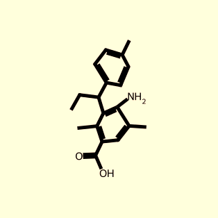 CCC(c1ccc(C)cc1)c1c(C)c(C(=O)O)cc(C)c1N